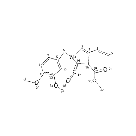 C=CC1=CN(Cc2ccc(OC)c(OC)c2)C(=C=O)C1C(=O)OC